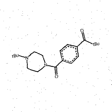 CC(C)(C)C(=O)c1ccc(C(=O)N2CCN(C(C)(C)C)CC2)cc1